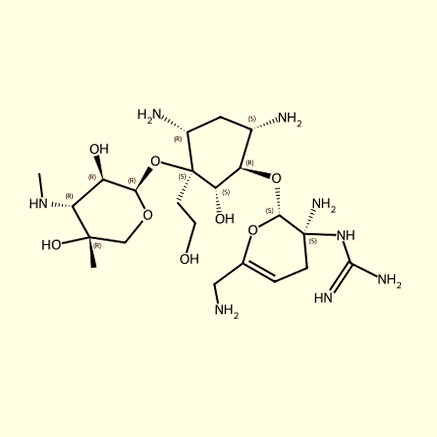 CN[C@@H]1[C@@H](O)[C@@H](O[C@@]2(CCO)[C@H](N)C[C@H](N)[C@@H](O[C@H]3OC(CN)=CC[C@]3(N)NC(=N)N)[C@@H]2O)OC[C@]1(C)O